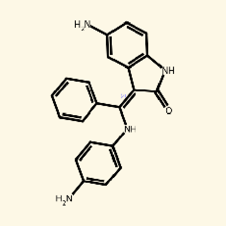 Nc1ccc(N/C(=C2\C(=O)Nc3ccc(N)cc32)c2ccccc2)cc1